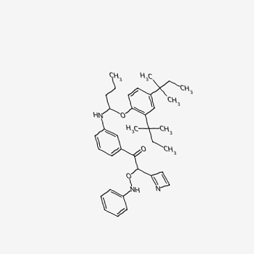 CCCC(Nc1cccc(C(=O)C(ONc2ccccc2)C2=NC=C2)c1)Oc1ccc(C(C)(C)CC)cc1C(C)(C)CC